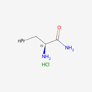 CCCC[C@H](N)C(N)=O.Cl